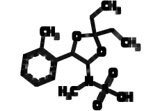 CCC1(CC)OC(c2ccccc2C)C(N(C)S(=O)(=O)O)O1